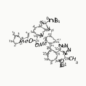 CCCCc1nc2cc(/C=C/c3ccccc3)c(C(OC)OC)nc2n1Cc1ccc(-c2ccccc2-c2nnnn2C(C)OCC)cc1